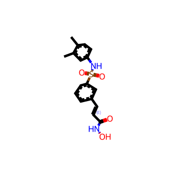 Cc1ccc(NS(=O)(=O)c2cccc(/C=C/C(=O)NO)c2)cc1C